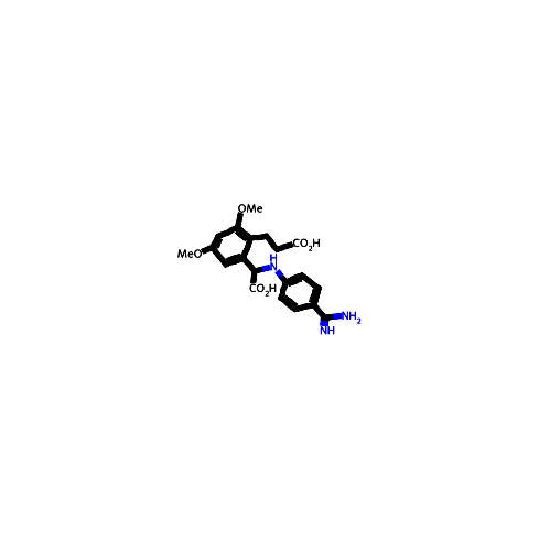 COc1cc(OC)c(CCC(=O)O)c(C(Nc2ccc(C(=N)N)cc2)C(=O)O)c1